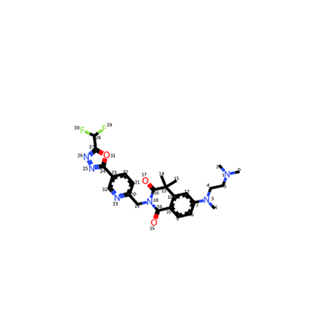 CN(C)CCN(C)c1ccc2c(c1)C(C)(C)C(=O)N(Cc1ccc(-c3nnc(C(F)F)o3)cn1)C2=O